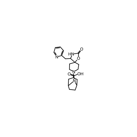 O=C1NC(Cc2ccccn2)C2(CCN(C3CC4CCC(C3)N4C(=O)O)CC2)O1